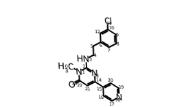 Cn1c(NCCc2cccc(Cl)c2)nc(-c2ccncc2)cc1=O